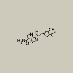 NC(=O)c1ccnc2c(NCCc3ccc(Cl)c(C(F)(F)F)c3)ncnc12